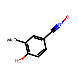 COc1cc(C#[N+][O-])ccc1O